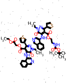 CCOC(=O)COC(=O)c1c(-c2ccsc2)nn(CC)c(=O)c1Nc1cncc2ccccc12.CCn1nc(-c2ccsc2)c(C(=O)OCCNC(=O)OC(C)(C)C)c(Nc2cncc3ccccc23)c1=O